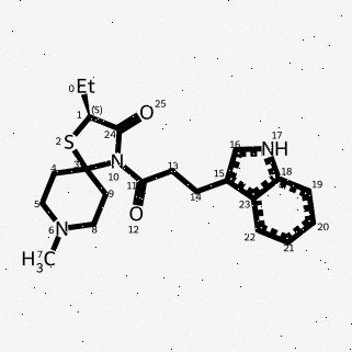 CC[C@@H]1SC2(CCN(C)CC2)N(C(=O)CCc2c[nH]c3ccccc23)C1=O